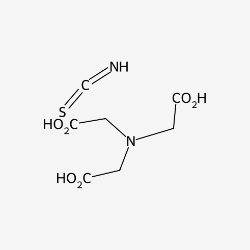 N=C=S.O=C(O)CN(CC(=O)O)CC(=O)O